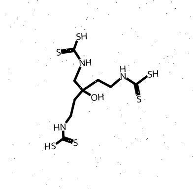 OC(CCNC(=S)S)(CCNC(=S)S)CNC(=S)S